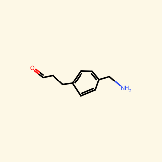 NCc1ccc(CC[C]=O)cc1